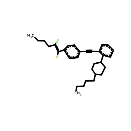 CCCCCC1CCC(c2ccccc2C#Cc2ccc(C(F)=C(F)CCCC)cc2)CC1